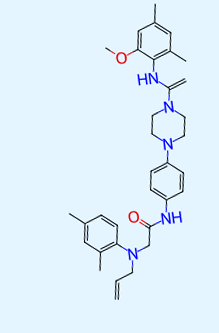 C=CCN(CC(=O)Nc1ccc(N2CCN(C(=C)Nc3c(C)cc(C)cc3OC)CC2)cc1)c1ccc(C)cc1C